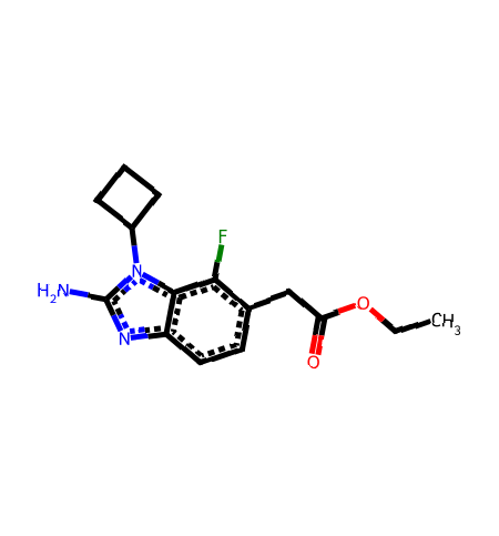 CCOC(=O)Cc1ccc2nc(N)n(C3CCC3)c2c1F